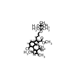 COC(=O)c1c(CCCO[Si](C)(C)C(C)(C)C)c2ccc(Cl)c(-c3c(CBr)c(C)nn3C)c2n1C